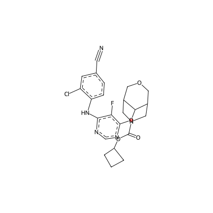 N#Cc1ccc(Nc2ncnc(OC3C4COCC3CN(C(=O)OC3CCC3)C4)c2F)c(Cl)c1